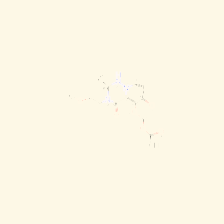 COCCN1C(=O)c2c(OCOC(C)=O)c(=O)ccn2N[C@@H]1C